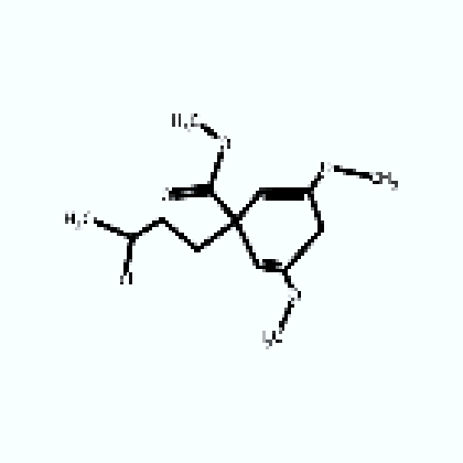 COC(=O)C1(CCC(C)Cl)C=C(OC)CC(OC)=C1